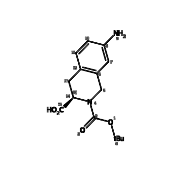 CC(C)(C)OC(=O)N1Cc2cc(N)ccc2C[C@@H]1C(=O)O